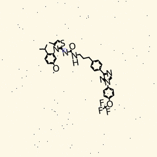 COc1ccc(C(C)C)c(-n2c(C)cs/c2=N\C(=O)NCCCc2ccc(-c3ncn(-c4ccc(OC(F)(F)F)cc4)n3)cc2)c1